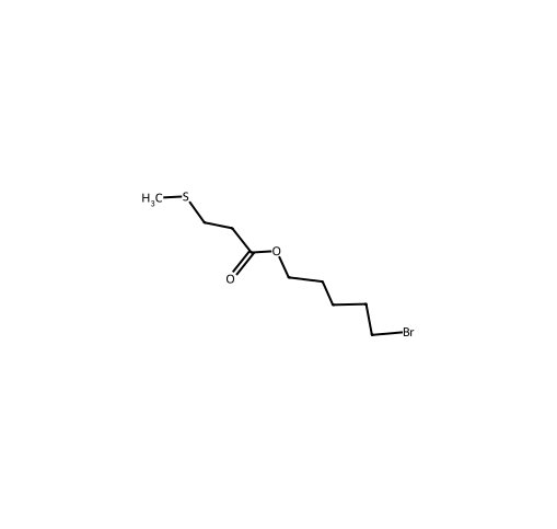 CSCCC(=O)OCCCCCBr